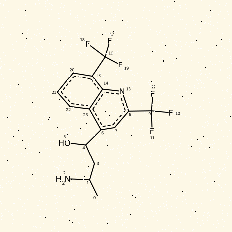 CC(N)CC(O)c1cc(C(F)(F)F)nc2c(C(F)(F)F)cccc12